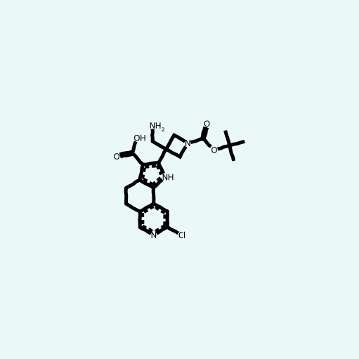 CC(C)(C)OC(=O)N1CC(CN)(c2[nH]c3c(c2C(=O)O)CCc2cnc(Cl)cc2-3)C1